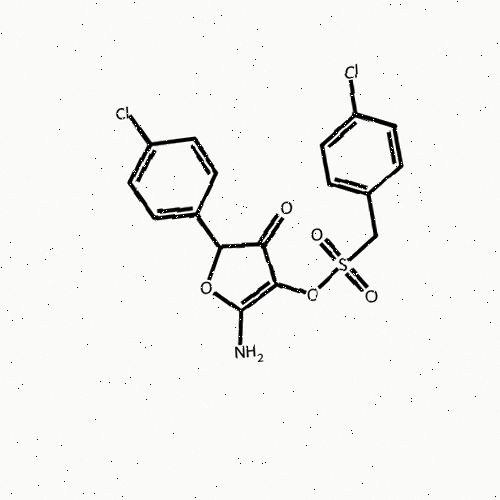 NC1=C(OS(=O)(=O)Cc2ccc(Cl)cc2)C(=O)C(c2ccc(Cl)cc2)O1